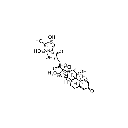 C[C@@H]1C[C@H]2[C@@H]3CCC4=CC(=O)C=C[C@]4(C)[C@@]3(F)[C@@H](O)C[C@]2(C)[C@@]1(O)C(=O)COC(=O)[C@H]1O[C@@H](O)[C@H](O)[C@@H](O)[C@@H]1O